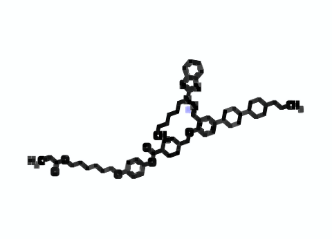 C=CC(=O)OCCCCCCOc1ccc(OC(=O)C2CCC(COc3ccc(C4CCC(C5CCC(CCC)CC5)CC4)cc3/C=N/N(CCCCCC)c3nc4ccccc4s3)CC2)cc1